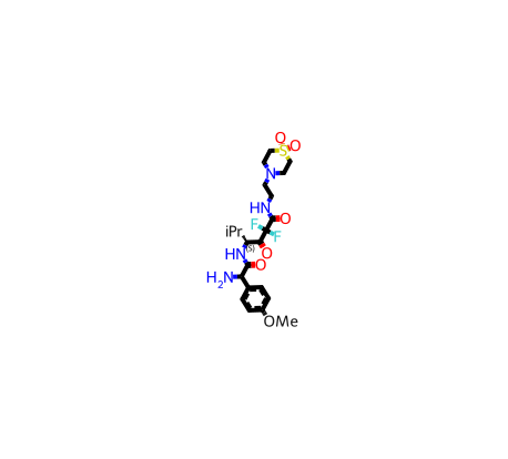 COc1ccc(C(N)C(=O)N[C@H](C(=O)C(F)(F)C(=O)NCCN2CCS(=O)(=O)CC2)C(C)C)cc1